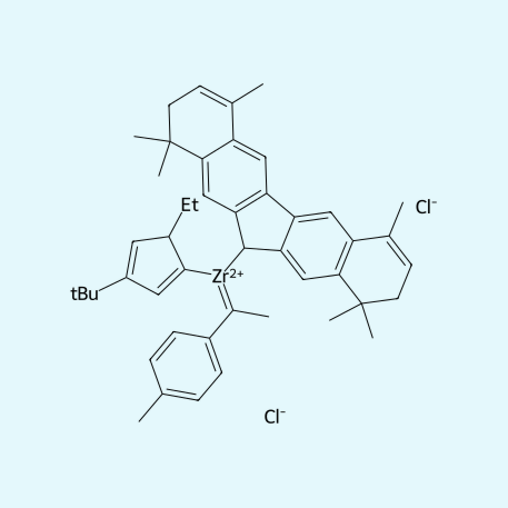 CCC1C=C(C(C)(C)C)C=[C]1/[Zr+2](=[C](/C)c1ccc(C)cc1)[CH]1c2cc3c(cc2-c2cc4c(cc21)C(C)(C)CC=C4C)C(C)=CCC3(C)C.[Cl-].[Cl-]